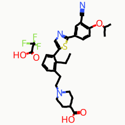 CCc1c(CCN2CCC(C(=O)O)CC2)cccc1-c1cnc(-c2ccc(OC(C)C)c(C#N)c2)s1.O=C(O)C(F)(F)F